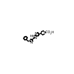 O=C(O)N1CCC(c2cnc3[nH]c(-c4cnn(Cc5ccccc5)c4)nc3c2)CC1